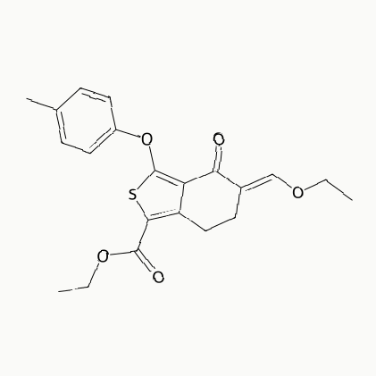 CCO/C=C1\CCc2c(C(=O)OCC)sc(Oc3ccc(C)cc3)c2C1=O